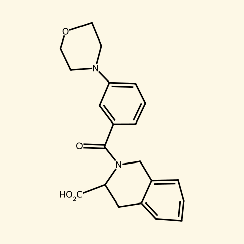 O=C(O)C1Cc2ccccc2CN1C(=O)c1cccc(N2CCOCC2)c1